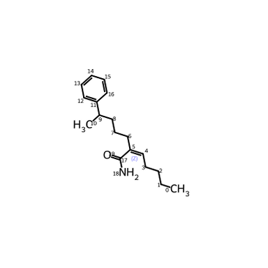 CCCC/C=C(/CCCC(C)c1ccccc1)C(N)=O